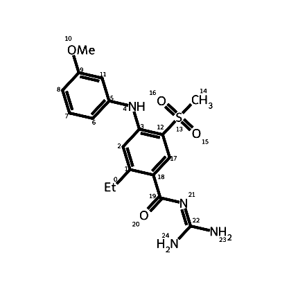 CCc1cc(Nc2cccc(OC)c2)c(S(C)(=O)=O)cc1C(=O)N=C(N)N